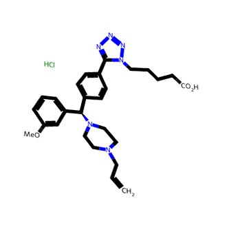 C=CCN1CCN([C@H](c2ccc(-c3nnnn3CCCCC(=O)O)cc2)c2cccc(OC)c2)CC1.Cl